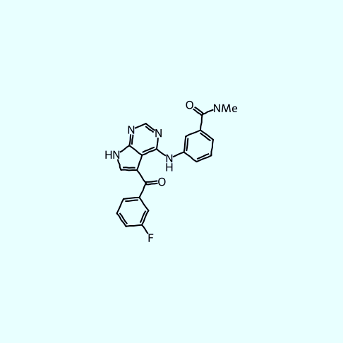 CNC(=O)c1cccc(Nc2ncnc3[nH]cc(C(=O)c4cccc(F)c4)c23)c1